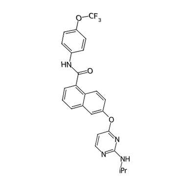 CC(C)Nc1nccc(Oc2ccc3c(C(=O)Nc4ccc(OC(F)(F)F)cc4)cccc3c2)n1